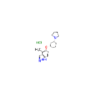 Cc1c(O[C@H]2CCC[C@@H](N3CCCC3)C2)ccc2[nH]ncc12.Cl